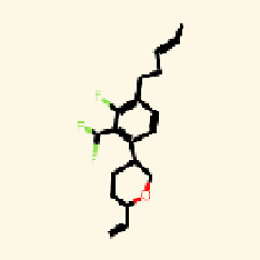 C=CC1CCC(c2ccc(CC/C=C/C)c(F)c2C(F)F)CO1